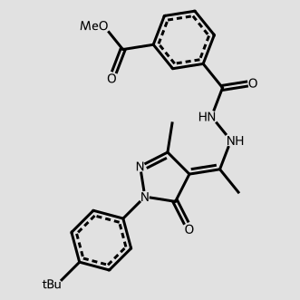 COC(=O)c1cccc(C(=O)NNC(C)=C2C(=O)N(c3ccc(C(C)(C)C)cc3)N=C2C)c1